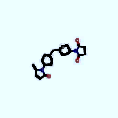 C=C1C=CC(=O)N1c1ccc(Cc2ccc(N3C(=O)C=CC3=O)cc2)cc1